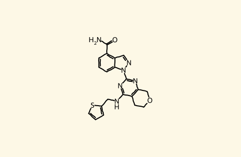 NC(=O)c1cccc2c1cnn2-c1nc2c(c(NCc3cccs3)n1)CCOC2